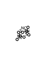 N#Cc1ccccc1-c1nc(-c2ccc3c(c2)sc2cccc(-c4nc(-c5ccccc5)nc(-c5ccccc5)n4)c23)c2sc3ccccc3c2n1